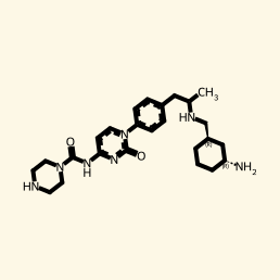 CC(Cc1ccc(-n2ccc(NC(=O)N3CCNCC3)nc2=O)cc1)NC[C@@H]1CCC[C@@H](N)C1